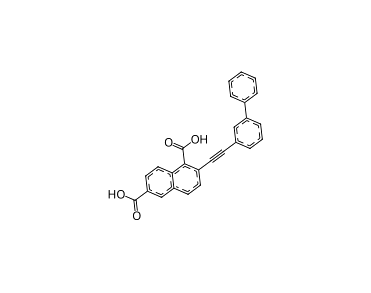 O=C(O)c1ccc2c(C(=O)O)c(C#Cc3cccc(-c4ccccc4)c3)ccc2c1